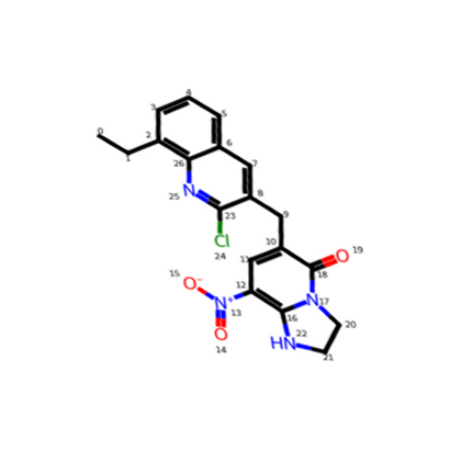 CCc1cccc2cc(Cc3cc([N+](=O)[O-])c4n(c3=O)CCN4)c(Cl)nc12